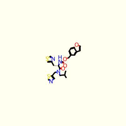 CC(C)CN(Cc1cncs1)C(=O)[C@H](Cc1cscn1)NC(=O)OCc1ccc2occc2c1